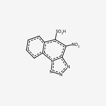 O=[N+]([O-])c1c(S(=O)(=O)O)c2ccccc2n2nnnc12